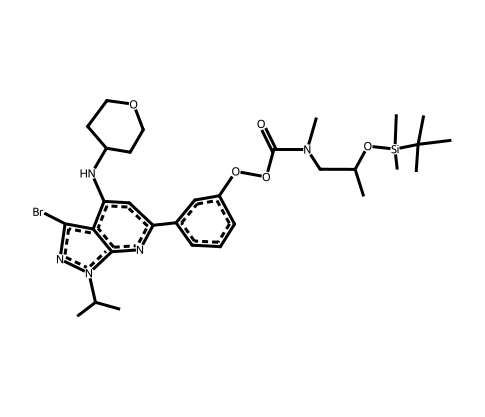 CC(CN(C)C(=O)OOc1cccc(-c2cc(NC3CCOCC3)c3c(Br)nn(C(C)C)c3n2)c1)O[Si](C)(C)C(C)(C)C